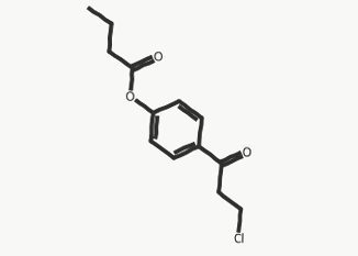 CCCC(=O)Oc1ccc(C(=O)CCCl)cc1